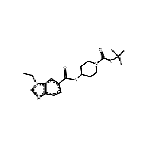 CCn1cnc2ccc(C(=O)NC3CCN(C(=O)OC(C)(C)C)CC3)cc21